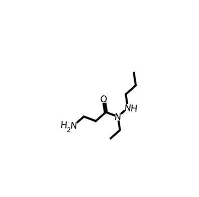 CCCNN(CC)C(=O)CCN